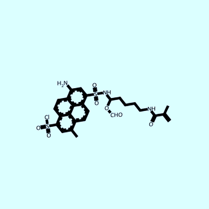 C=C(C)C(=O)NCCCCC(NS(=O)(=O)c1cc(N)c2ccc3c(S(=O)(=O)Cl)cc(C)c4ccc1c2c43)OC=O